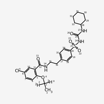 [2H]C([2H])(C)Oc1ccc(Cl)cc1C(=O)NCCc1ccc(S(=O)(=O)NC(=O)NC2CCCCC2)cc1